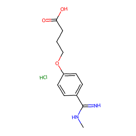 CNC(=N)c1ccc(OCCCC(=O)O)cc1.Cl